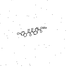 COC(=O)n1ncc2c(NC(=O)NC3CCc4cc(Cl)ccc43)cccc21